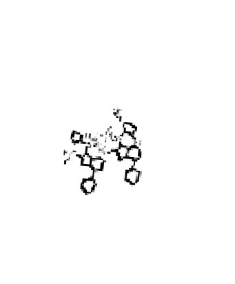 CCC1=[C]([Zr+2]([SiH2]C)[CH]2C(C)=Cc3c(-c4ccccc4)cccc32)CC=C1.C[SiH2][Zr+2]([C]1=CC=CC1)[CH]1C(C)=Cc2c(-c3ccccc3)cccc21.[Cl-].[Cl-].[Cl-].[Cl-]